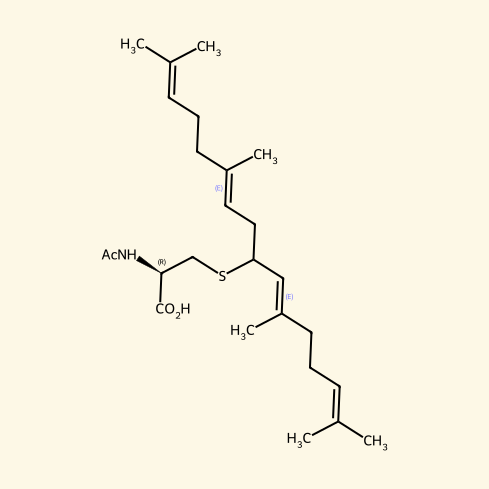 CC(=O)N[C@@H](CSC(/C=C(\C)CCC=C(C)C)C/C=C(\C)CCC=C(C)C)C(=O)O